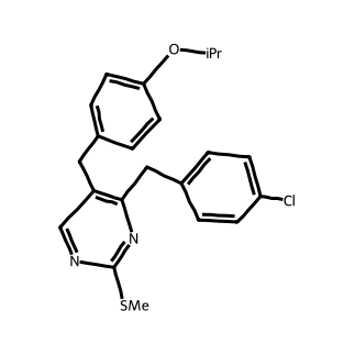 CSc1ncc(Cc2ccc(OC(C)C)cc2)c(Cc2ccc(Cl)cc2)n1